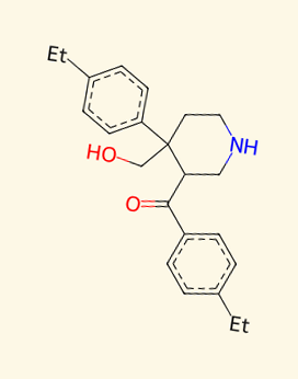 CCc1ccc(C(=O)C2CNCCC2(CO)c2ccc(CC)cc2)cc1